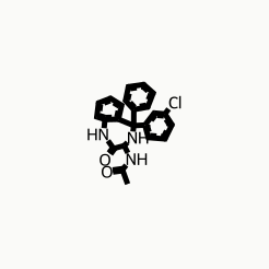 CC(=O)NC1NC(c2ccccc2)(c2cccc(Cl)c2)c2ccccc2NC1=O